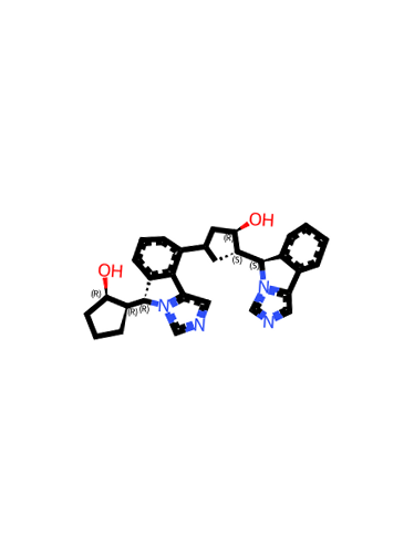 O[C@@H]1CC(c2cccc3c2-c2cncn2[C@@H]3[C@H]2CCC[C@H]2O)C[C@H]1[C@H]1c2ccccc2-c2cncn21